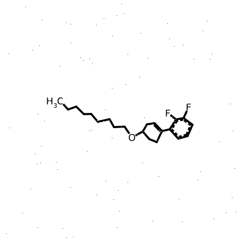 CCCCCCCCCOC1CC=C(c2cccc(F)c2F)CC1